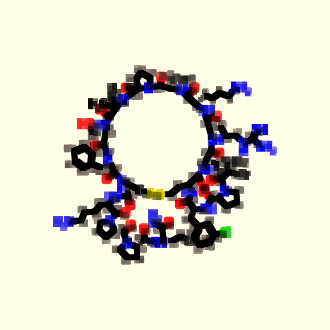 CCCCC[C@@H]1NC(=O)[C@H](CCCCN)NC(=O)[C@H](CCCNC(=N)N)NC(=O)[C@H](CC(C)C)NC(=O)C(NC(=O)[C@H](Cc2cccc(Cl)c2)NC(=O)[C@@H]2CCCN2C(=O)[C@@H](NC(C)=O)C(C)C)CCSSC[C@@H](C(=O)NC(CCCCN)C(=O)N2CCC[C@H]2C(=O)N2CCC[C@H]2C(=O)N[C@@H](CCC(=O)O)C(N)=O)NC(=O)[C@H](Cc2ccccc2)NC(=O)[C@H](CO)NC(=O)C(C)(C)NC(=O)[C@@H]2CCCN2C1=O